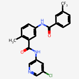 Cc1ccc(NC(=O)c2cccc(C(F)(F)F)c2)cc1C(=O)Nc1cncc(Cl)c1